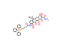 C[C@H]1c2ccc(NC(=O)CCCCC[PH](c3ccccc3)(c3ccccc3)c3ccccc3)c(O)c2C(=O)C2=C(O)C3C(=O)C(C(N)=O)=C(O)CC3CC21